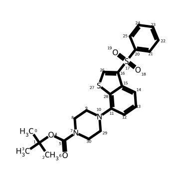 CC(C)(C)OC(=O)N1CCN(c2cccc3c(S(=O)(=O)c4ccccc4)csc23)CC1